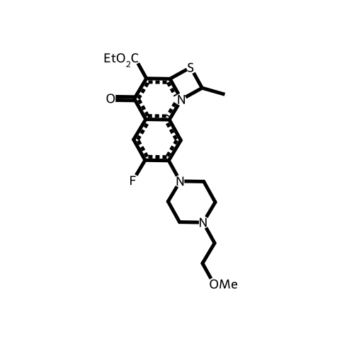 CCOC(=O)c1c2n(c3cc(N4CCN(CCOC)CC4)c(F)cc3c1=O)C(C)S2